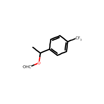 CC(O[C]=O)c1ccc(C(F)(F)F)cc1